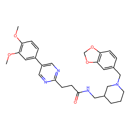 COc1ccc(-c2cnc(CCC(=O)NCC3CCCN(Cc4ccc5c(c4)OCO5)C3)nc2)cc1OC